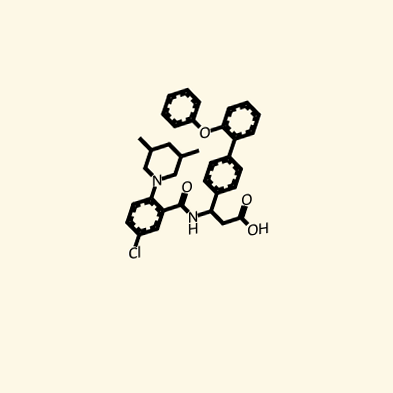 CC1CC(C)CN(c2ccc(Cl)cc2C(=O)NC(CC(=O)O)c2ccc(-c3ccccc3Oc3ccccc3)cc2)C1